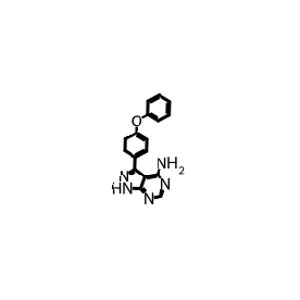 Nc1ncnc2[nH]nc(C3=CC=C(Oc4ccccc4)CC3)c12